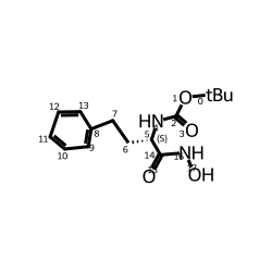 CC(C)(C)OC(=O)N[C@@H](CCc1ccccc1)C(=O)NO